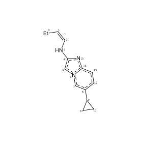 CC/C=C\Nc1cn2cc(C3CC3)ccc2n1